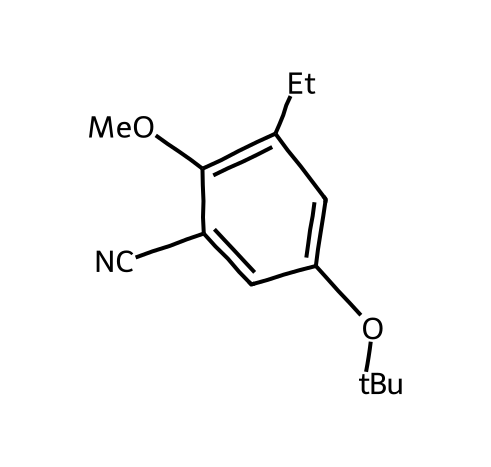 CCc1cc(OC(C)(C)C)cc(C#N)c1OC